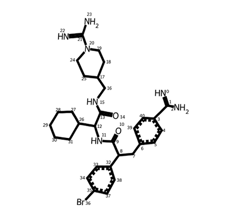 N=C(N)c1ccc(CC(C(=O)NC(C(=O)NCC2CCN(C(=N)N)CC2)C2CCCCC2)c2ccc(Br)cc2)cc1